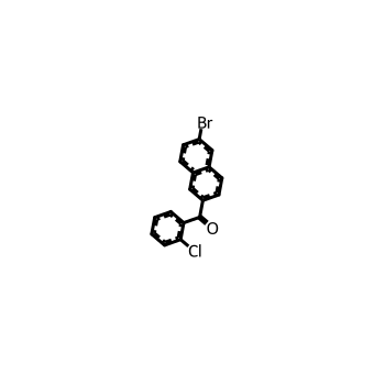 O=C(c1ccc2cc(Br)ccc2c1)c1ccccc1Cl